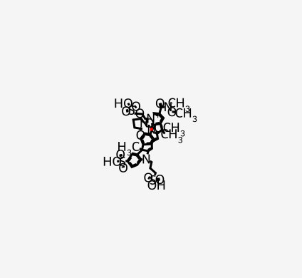 CON(C)C(=O)c1cc2c([n+](CCCS(=O)(=O)O)c1)N=C(/C=C/C=C1/N(CCCS(=O)(=O)O)c3ccc(S(=O)(=O)O)cc3C1(C)c1ccc(C(=O)ON3C(=O)CCC3=O)cc1)C2(C)C